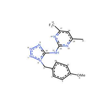 COc1ccc(Cn2nnnc2Nc2nc(C)cc(C(F)(F)F)n2)cc1